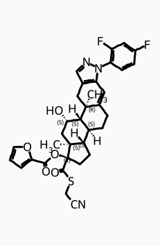 C[C@]12Cc3cnn(-c4ccc(F)cc4F)c3C=C1CC[C@@H]1[C@@H]2[C@@H](O)C[C@@]2(C)[C@H]1CC[C@]2(OC(=O)c1ccco1)C(=O)SCC#N